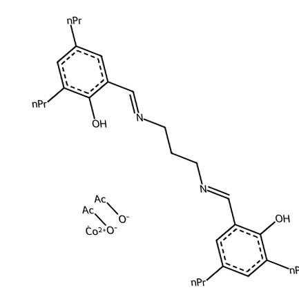 CC(=O)[O-].CC(=O)[O-].CCCc1cc(C=NCCCN=Cc2cc(CCC)cc(CCC)c2O)c(O)c(CCC)c1.[Co+2]